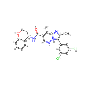 Cc1nc2c(C(C)C)c(C(=O)N[C@H]3CCOc4ccccc43)cnn2c1-c1cc(Cl)cc(Cl)c1